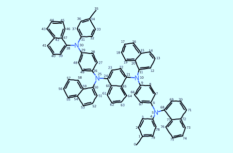 Cc1ccc(N(c2ccc(N(c3cccc4ccccc34)c3ccc(N(c4ccc(N(c5ccc(C)cc5)c5cccc6ccccc56)cc4)c4cccc5ccccc45)c4ccccc34)cc2)c2cccc3ccccc23)cc1